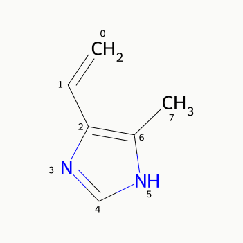 C=Cc1nc[nH]c1C